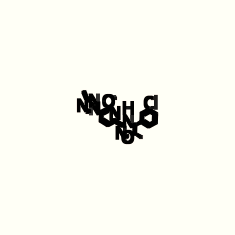 COc1nc(C2=NO[C@H](C)[C@H](c3cccc(Cl)c3)N2)ccc1-n1cnc(C)n1